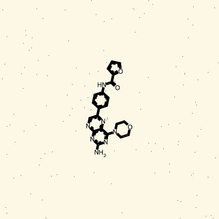 Nc1nc(N2CCOCC2)c2nc(-c3ccc(NC(=O)c4ccco4)cc3)cnc2n1